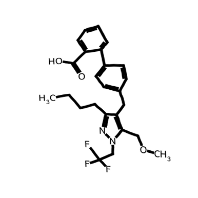 CCCCc1nn(CC(F)(F)F)c(COC)c1Cc1ccc(-c2ccccc2C(=O)O)cc1